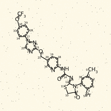 Cc1ccc(C(C)C)c(N2C(=O)CSC2=NC(=O)Nc2ccc(COc3ncn(-c4ccc(OC(F)(F)F)cc4)n3)cn2)c1